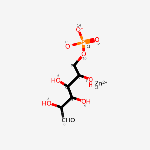 O=CC(O)C(O)C(O)C(O)COP(=O)([O-])[O-].[Zn+2]